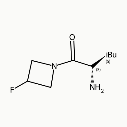 CC[C@H](C)[C@H](N)C(=O)N1CC(F)C1